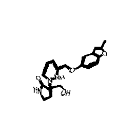 Cc1cc2cc(OCC3=CC=CN(C4(CO)CCNC4=O)N3)ccc2o1